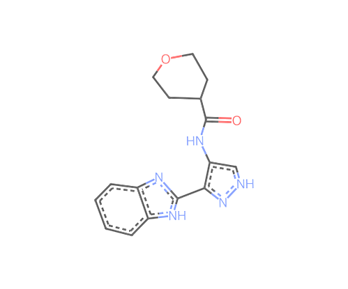 O=C(Nc1c[nH]nc1-c1nc2ccccc2[nH]1)C1CCOCC1